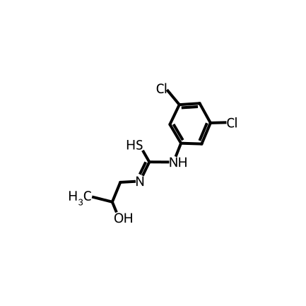 CC(O)CN=C(S)Nc1cc(Cl)cc(Cl)c1